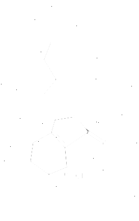 CCCC[C@@H]1OC(=O)C2=C1CCC[C@H]2O